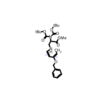 C/C=C(\C=C/NCC(C(=O)OC)N(C(=O)OC(C)(C)C)C(=O)OC(C)(C)C)OCc1ccccc1